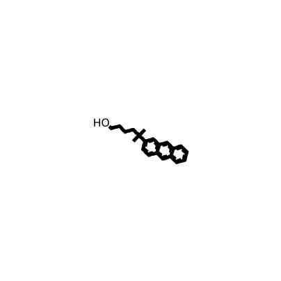 CC(C)(CCCCO)c1ccc2cc3ccccc3cc2c1